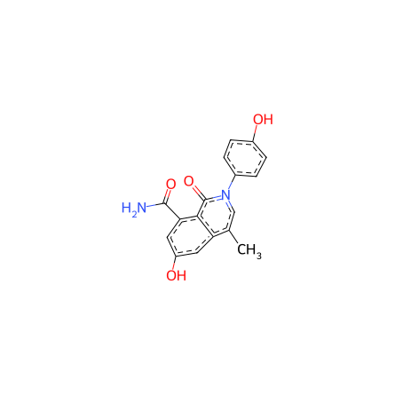 Cc1cn(-c2ccc(O)cc2)c(=O)c2c(C(N)=O)cc(O)cc12